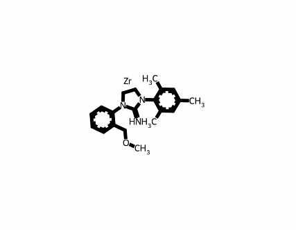 COCc1ccccc1N1CCN(c2c(C)cc(C)cc2C)C1=N.[Zr]